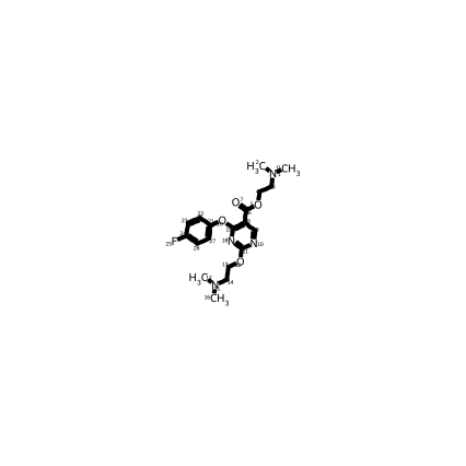 CN(C)CCOC(=O)c1cnc(OCCN(C)C)nc1Oc1ccc(F)cc1